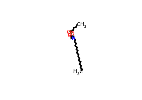 CCCCCCCCCCCCCCCCCCN1CC(OS(=O)(=O)CCCCCC)C1